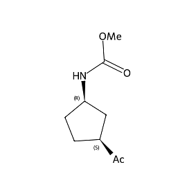 COC(=O)N[C@@H]1CC[C@H](C(C)=O)C1